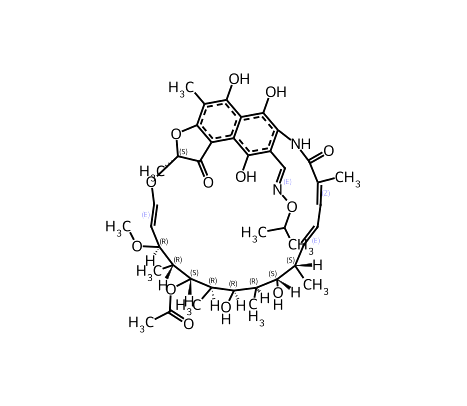 CO[C@H]1/C=C/O[C@@]2(C)Oc3c(C)c(O)c4c(O)c(c(/C=N/OC(C)C)c(O)c4c3C2=O)NC(=O)/C(C)=C\C=C\[C@H](C)[C@H](O)[C@@H](C)[C@@H](O)[C@@H](C)[C@H](OC(C)=O)[C@@H]1C